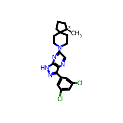 C[C@@H]1CCCC12CCN(c1cnc3c(-c4cc(Cl)cc(Cl)c4)n[nH]c3n1)CC2